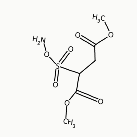 COC(=O)CC(C(=O)OC)S(=O)(=O)ON